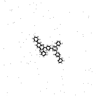 c1ccc(-c2ccc(-c3nc(-c4ccccc4)nc(-c4ccc(-c5nc6cc(-c7ccccc7)ccc6c6sc7ccccc7c56)cc4)n3)cc2)cc1